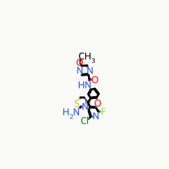 COc1cnc(C(=O)Nc2ccc3c(c2)[C@]2(CCSC(N)=N2)c2cc(Cl)nc(F)c2O3)cn1